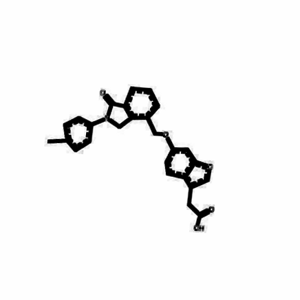 Cc1ccc(N2Cc3c(COc4ccc5c(CC(=O)O)coc5c4)cccc3C2=O)cc1